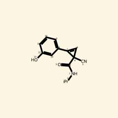 CC(C)NC(=O)C1(C#N)C=C1c1cccc(O)c1